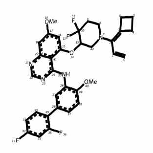 C=CC(=C1CCC1)N1CCC(F)(F)C(Oc2cc(OC)cc3ncnc(Nc4cc(-c5ccc(F)cc5F)ccc4OC)c23)C1